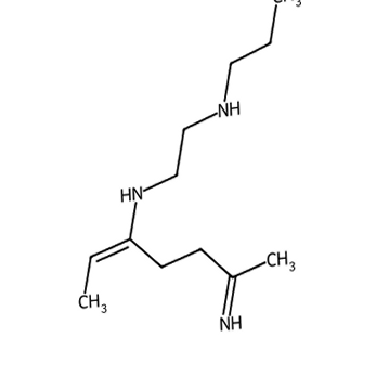 C/C=C(\CCC(C)=N)NCCNCCC